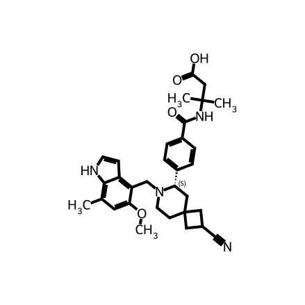 COc1cc(C)c2[nH]ccc2c1CN1CCC2(CC(C#N)C2)C[C@H]1c1ccc(C(=O)NC(C)(C)CC(=O)O)cc1